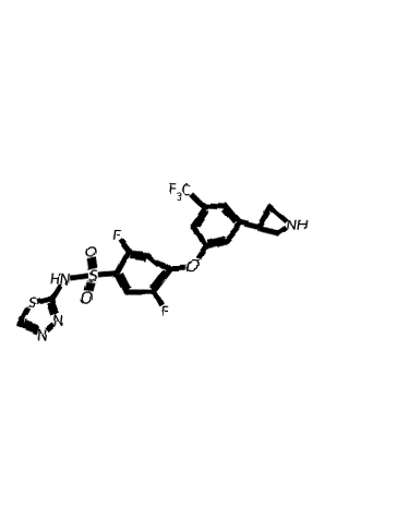 O=S(=O)(Nc1nncs1)c1cc(F)c(Oc2cc(C3CNC3)cc(C(F)(F)F)c2)cc1F